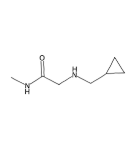 CNC(=O)CNCC1CC1